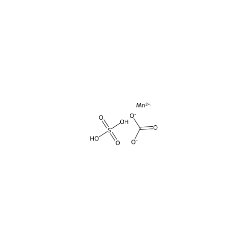 O=C([O-])[O-].O=S(=O)(O)O.[Mn+2]